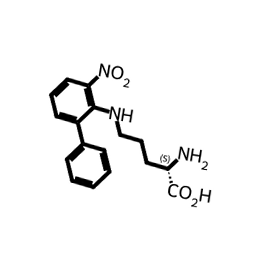 N[C@@H](CCCNc1c(-c2ccccc2)cccc1[N+](=O)[O-])C(=O)O